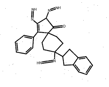 N=NC1=C(c2ccccc2)C2(CCC(N=N)(C3Cc4ccccc4C3)CC2)C(=O)C1N=N